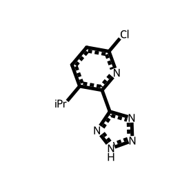 CC(C)c1ccc(Cl)nc1-c1nn[nH]n1